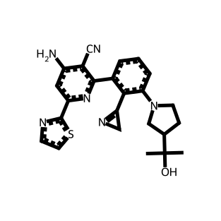 CC(C)(O)C1CCN(c2cccc(-c3nc(-c4nccs4)cc(N)c3C#N)c2C2=NC2)C1